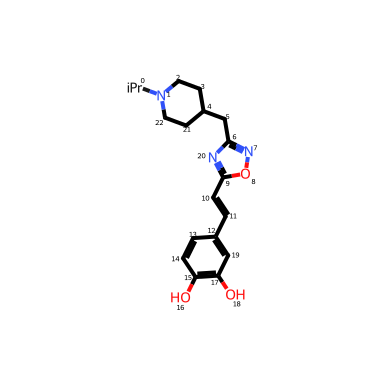 CC(C)N1CCC(Cc2noc(/C=C/c3ccc(O)c(O)c3)n2)CC1